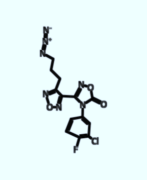 [N-]=[N+]=NCCCc1nonc1-c1noc(=O)n1-c1ccc(F)c(Cl)c1